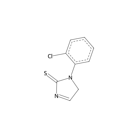 S=C1N=CCN1c1ccccc1Cl